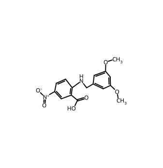 COc1cc(CNc2ccc([N+](=O)[O-])cc2C(=O)O)cc(OC)c1